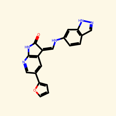 O=C1Nc2ncc(-c3ccco3)cc2C1=CNc1ccc2cn[nH]c2c1